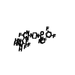 O=C(N1CCN(c2ncc(F)c(C3=C(C(F)(F)F)NNN3)n2)CC1)N1N=CC[C@H]1c1cc(F)cc(F)c1